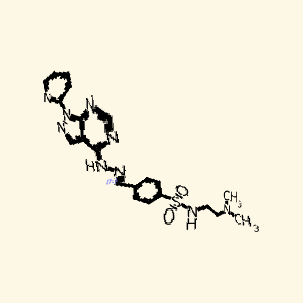 CN(C)CCNS(=O)(=O)c1ccc(/C=N/Nc2ncnc3c2cnn3-c2ccccn2)cc1